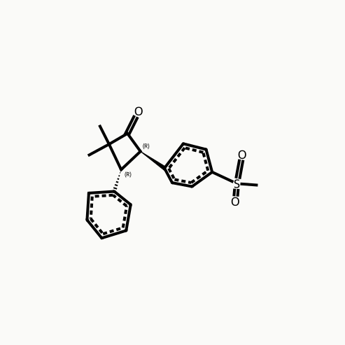 CC1(C)C(=O)[C@@H](c2ccc(S(C)(=O)=O)cc2)[C@@H]1c1ccccc1